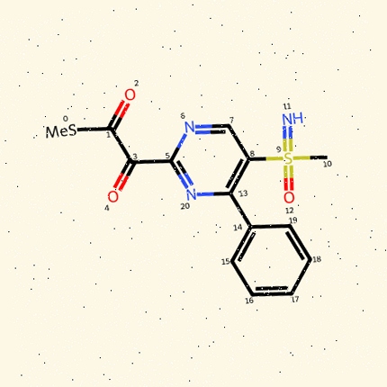 CSC(=O)C(=O)c1ncc(S(C)(=N)=O)c(-c2ccccc2)n1